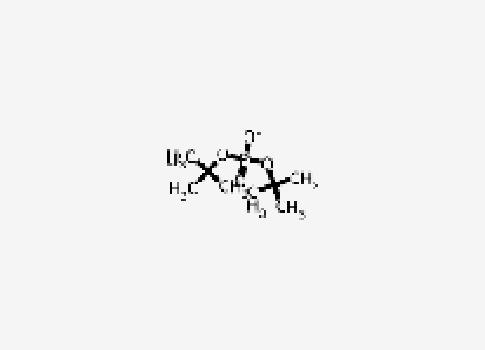 CC(C)(C)OP(=O)([O-])OC(C)(C)C.[Li+]